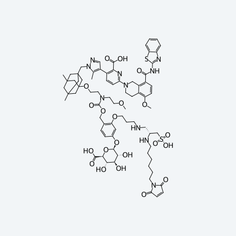 COCCN(CCOC12CC3(C)CC(C)(CC(Cn4ncc(-c5ccc(N6CCc7c(OC)ccc(C(=O)Nc8nc9ccccc9s8)c7C6)nc5C(=O)O)c4C)(C3)C1)C2)C(=O)OCc1ccc(O[C@@H]2O[C@H](C(=O)O)[C@@H](O)[C@H](O)[C@H]2O)cc1OCCCNC[C@H](CS(=O)(=O)O)NCCCCCCN1C(=O)C=CC1=O